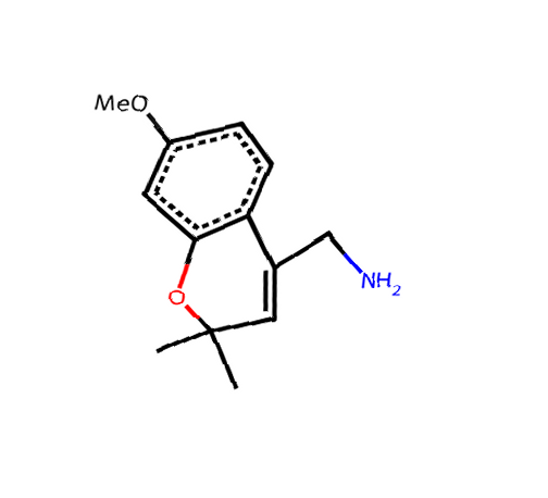 COc1ccc2c(c1)OC(C)(C)C=C2CN